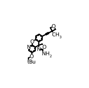 CC(C)(C)COc1cnc2c(c1)C1(COC(N)=N1)c1cc(C#CC3(C)COC3)ccc1O2